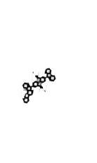 N#Cc1cc(-n2c3ccccc3c3ccccc32)ccc1-c1ccc(-n2c3ccccc3c3c4oc5ccccc5c4ccc32)cc1C#N